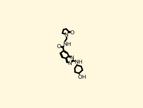 O=C(NCCN1CCCC1=O)c1ccc2cnc(N[C@H]3CC[C@H](O)CC3)nc2c1